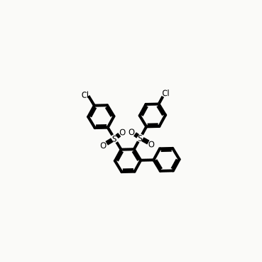 O=S(=O)(c1ccc(Cl)cc1)c1cccc(-c2ccccc2)c1S(=O)(=O)c1ccc(Cl)cc1